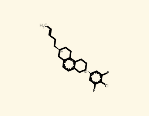 CC=CCC[C@H]1CCc2c(ccc3c2CC[C@H](c2cc(F)c(Cl)c(F)c2)C3)C1